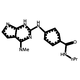 CCCNC(=O)c1ccc(Nc2nc(NC)c3ccnc-3[nH]2)cc1